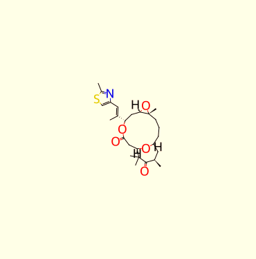 C/C(=C\c1csc(C)n1)[C@@H]1C[C@@H]2O[C@]2(C)CCC[C@H]2C[C@@H](C)C(=O)C(C)(C)[C@H](CC(=O)O1)O2